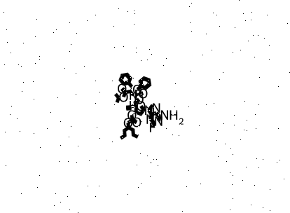 C#C[C@]1(CO[P@@](=O)(N[C@@H](Cc2ccccc2)C(=O)OC(C)C)Oc2ccccc2)O[C@@H](n2cnc3c(N)nc(F)nc32)C[C@@H]1OC(=O)OC(CCC)CCC